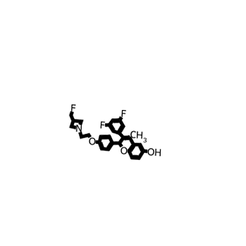 CC1=C(c2cc(F)cc(F)c2)C(c2ccc(OCCN3CC(CF)C3)cc2)Oc2ccc(O)cc21